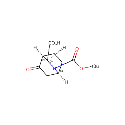 CC(C)(C)OC(=O)N1[C@H]2CC[C@H](C(=O)C2)[C@H]1C(=O)O